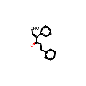 O=C/C=C(/C(=O)/C=C/c1ccccc1)c1ccccc1